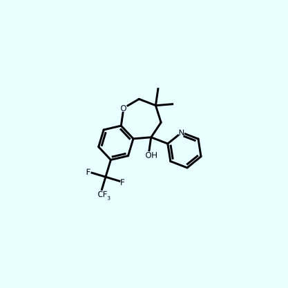 CC1(C)COc2ccc(C(F)(F)C(F)(F)F)cc2C(O)(c2ccccn2)C1